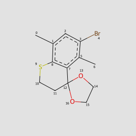 Cc1cc(Br)c(C)c2c1SCCC21OCCO1